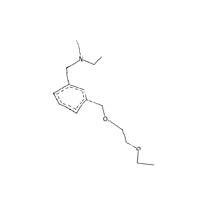 CCOCCOCc1cccc(CN(C)CC)c1